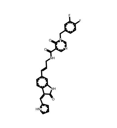 O=C1Nc2cc(C=CCNC(=O)c3cncn(Cc4ccc(F)c(F)c4)c3=O)ccc2C1=Cc1ccc[nH]1